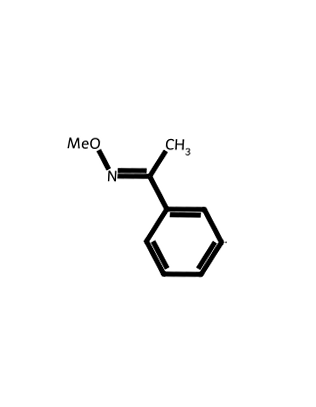 CON=C(C)c1c[c]ccc1